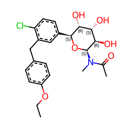 CCOc1ccc(Cc2cc([C@@H]3O[C@H](N(C)C(C)=O)[C@H](O)[C@@H](O)[C@H]3O)ccc2Cl)cc1